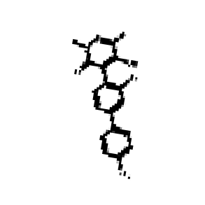 CCc1cc(-c2ccc(C(F)(F)F)cc2)ccc1-c1c(O)c(C)nn(C)c1=O